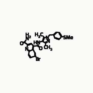 CSc1ccc(Cn2nc(C)c(NC(=O)c3cc(C(N)=O)nc4ccc(Br)cc34)c2C)cc1